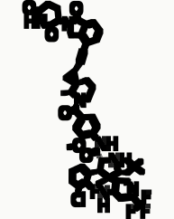 COc1cc(C(=O)N2CCC[C@]3(C[C@H]3C#Cc3cccc4c3CN(C3CCC(=O)NC3=O)C4=O)[C@@H]2C)ccc1NC(=O)[C@@H]1N[C@@H](CC(C)(C)C)[C@@]2(CNc3cc(C(F)(F)F)ncc32)[C@H]1c1cccc(Cl)c1F